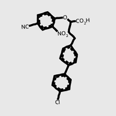 N#Cc1ccc(OC(CCc2ccc(-c3ccc(Cl)cc3)cc2)C(=O)O)c([N+](=O)[O-])c1